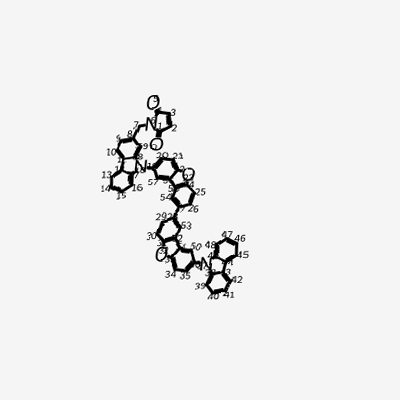 O=C1C=CC(=O)N1Cc1ccc2c3ccccc3n(-c3ccc4oc5ccc(-c6ccc7oc8ccc(-n9c%10ccccc%10c%10ccccc%109)cc8c7c6)cc5c4c3)c2c1